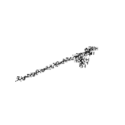 CC(=O)CCOCCOCCOCCOCCOCCCCCOCCOCCOCCOCCOCCOCCN(C[C@@H](O)[C@@H](O)[C@H](O)[C@H](O)CO)C[C@@H](O)[C@@H](O)[C@H](O)[C@H](O)CO